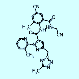 Cc1cc(C#N)cc(C(=O)NCC#N)c1NC(=O)c1cc(Cn2nnc(C(F)(F)F)n2)nn1-c1ncccc1C(F)(F)F